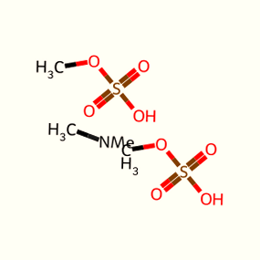 CNC.COS(=O)(=O)O.COS(=O)(=O)O